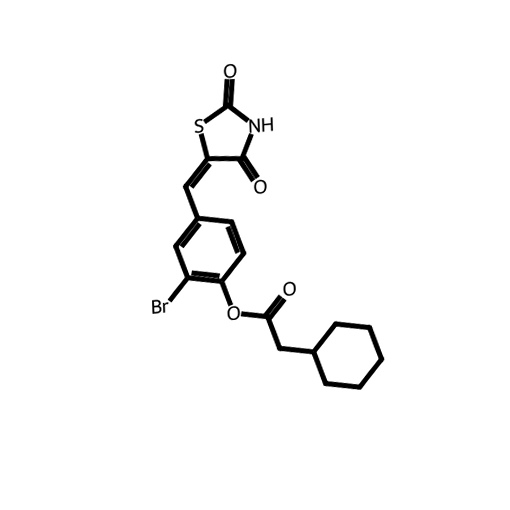 O=C(CC1CCCCC1)Oc1ccc(C=C2SC(=O)NC2=O)cc1Br